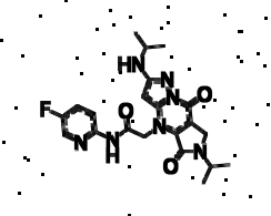 CC(C)Nc1cc2n(CC(=O)Nc3ccc(F)cn3)c3c(c(=O)n2n1)CN(C(C)C)C3=O